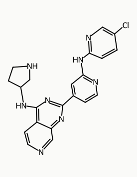 Clc1ccc(Nc2cc(-c3nc(NC4CCNC4)c4ccncc4n3)ccn2)nc1